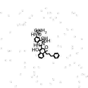 CC1(CCCc2ccccc2)C(=O)C(C2=NS(O)(O)c3cc(NS(N)(=O)=O)ccc3N2)=C(O)c2ccccc21